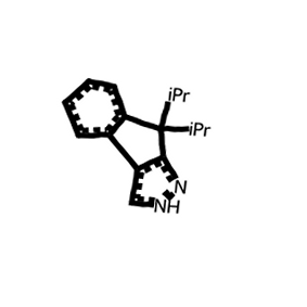 CC(C)C1(C(C)C)c2ccccc2-c2c[nH]nc21